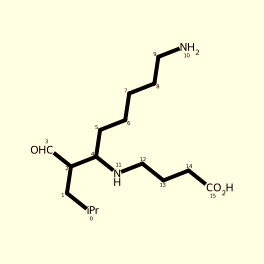 CC(C)CC(C=O)C(CCCCCN)NCCCC(=O)O